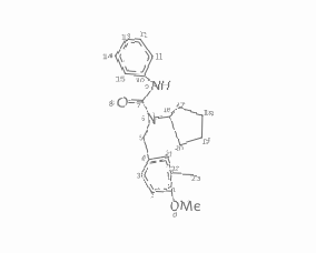 COc1ccc(CN(C(=O)Nc2ccccc2)C2CCCC2)cc1C